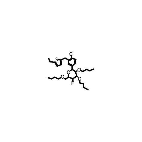 CCCCOCC1OC(c2ccc(Cl)c(Cc3ccc(CC)s3)c2)C(OCCCC)C(OCCCC)C1F